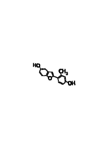 Cc1cc(O)ccc1-c1cc2cc(O)ccc2o1